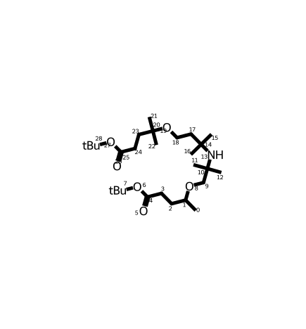 CC(CCC(=O)OC(C)(C)C)OCC(C)(C)NC(C)(C)CCOC(C)(C)CCC(=O)OC(C)(C)C